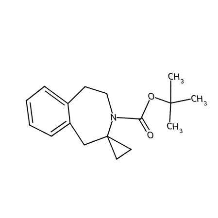 CC(C)(C)OC(=O)N1CCc2ccccc2CC12CC2